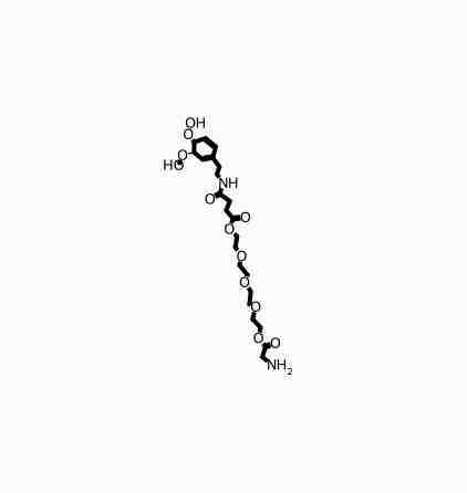 NCC(=O)OCCOCCOCCOCCOC(=O)CCC(=O)NCCC1=C[C@H](OO)C(OO)C=C1